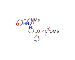 CNC[C@H](CC1CCOCC1)NC(=O)N1CCC[C@@H](C(OCCNC(=O)OC)c2ccccc2)C1